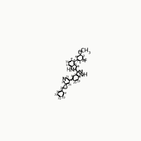 COc1cc(F)cc(-c2cccc3[nH]c(-c4n[nH]c5ccc(-c6cncc(OCc7ccccc7)c6)cc45)cc23)c1